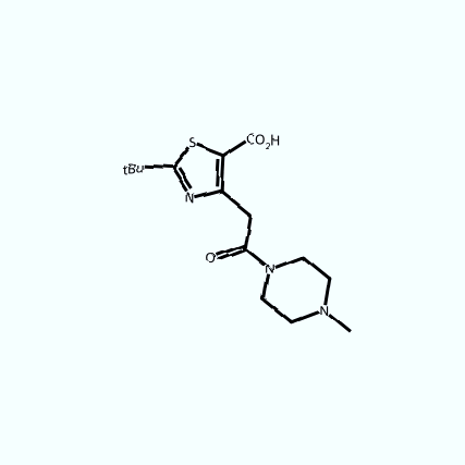 CN1CCN(C(=O)Cc2nc(C(C)(C)C)sc2C(=O)O)CC1